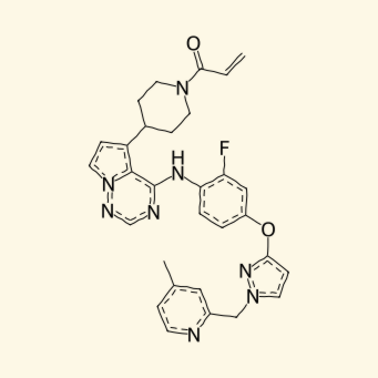 C=CC(=O)N1CCC(c2ccn3ncnc(Nc4ccc(Oc5ccn(Cc6cc(C)ccn6)n5)cc4F)c23)CC1